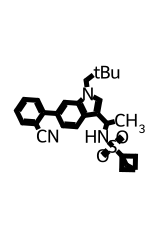 CC(NS(=O)(=O)C12CC(C1)C2)c1cn(CC(C)(C)C)c2cc(-c3ccccc3C#N)ccc12